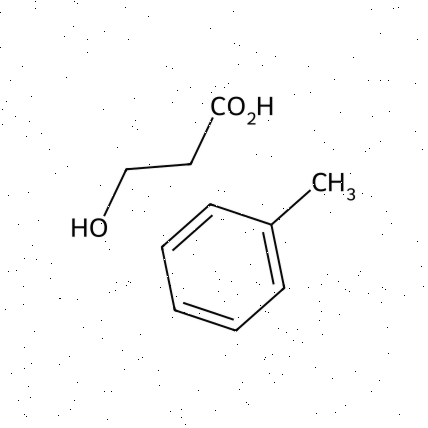 Cc1ccccc1.O=C(O)CCO